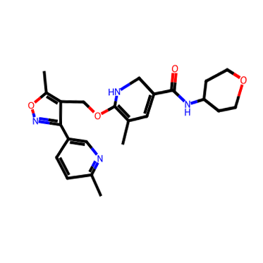 CC1=C(OCc2c(-c3ccc(C)nc3)noc2C)NCC(C(=O)NC2CCOCC2)=C1